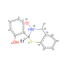 CCC1(c2ccccc2O)Sc2ccccc2C(C)[NH+]1[O-]